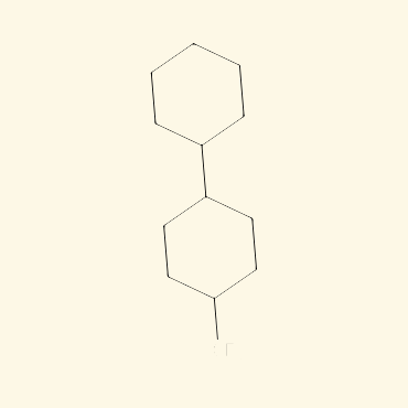 FC(F)(F)C1CCC(C2CCCCC2)CC1